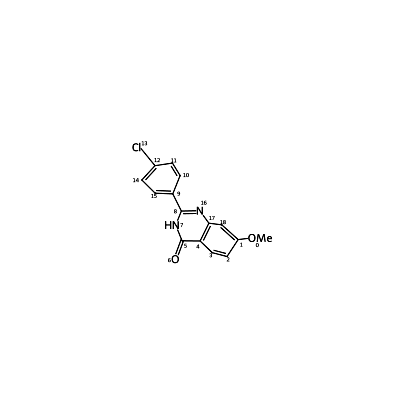 COc1ccc2c(=O)[nH]c(-c3ccc(Cl)cc3)nc2c1